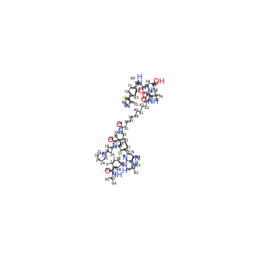 Cc1cc(F)c(Nc2nc(-c3ccc4c(c3)N(C3CC(N5CCCCC5)C3)C(=O)C43CCN(C(=O)CCCCCCCCCC(=O)N[C@H](C(=O)N4C[C@H](O)C[C@H]4C(=O)N[C@@H](C)c4ccc(-c5scnc5C)cc4)C(C)(C)C)CC3)cc3ncn(C(C)C)c23)cc1C(=O)NC(C)C